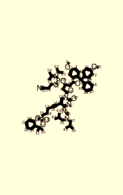 COc1ccc(C(OCC2OC(n3cc(C#CCCCP4(=O)Oc5ccccc5C(C)(C)O4)c(/N=C/N(CC(C)C)CC(C)C)nc3=O)CC2OP(OCCC#N)N(C(C)C)C(C)C)(c2ccccc2)c2ccc(OC)cc2)cc1